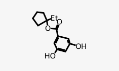 CCC1(OC(=O)c2cc(O)cc(O)c2)CCCC1